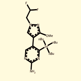 CCC[CH2][Sn]([CH2]CCC)([CH2]CCC)[c]1nc(N)ncc1-c1cn(CC(F)F)nc1OC